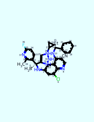 B[C@@](Nc1cc(Cl)c2ncc(C#N)c(N[C@H](CC)c3ccccc3)c2c1)(C1=CN(C2CC2)NN1)c1ccc(F)nc1C